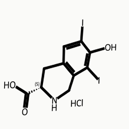 Cl.O=C(O)[C@@H]1Cc2cc(I)c(O)c(I)c2CN1